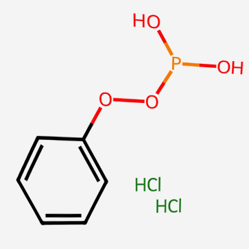 Cl.Cl.OP(O)OOc1ccccc1